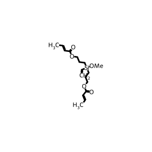 C=C[Si](CCCOC(=O)C=CC)(CCCOC(=O)C=CC)OC